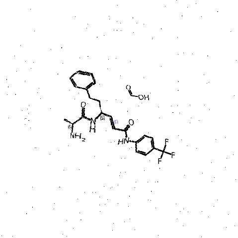 C[C@H](N)C(=O)N[C@H](/C=C/C(=O)Nc1ccc(C(F)(F)F)cc1)CCc1ccccc1.O=CO